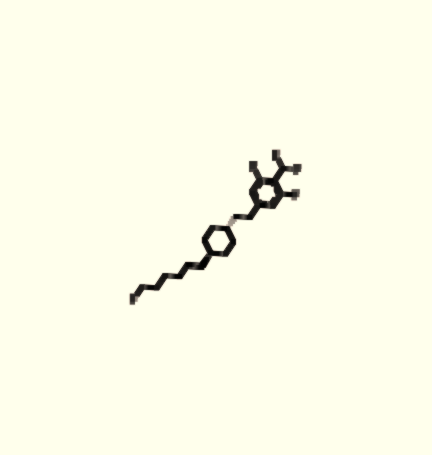 FCCCCC=C[C@H]1CC[C@H](CCc2cc(F)c(C(F)F)c(F)c2)CC1